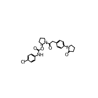 O=C(Nc1ccc(Cl)cc1)O[C@H]1CCCN1C(=O)Cc1ccc(N2CCCC2=O)cc1